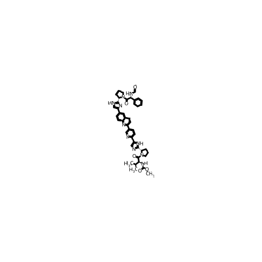 COC(=O)N[C@H](C(=O)N1CCC[C@H]1c1ncc(-c2ccc(-c3ccc4cc(-c5c[nH]c([C@@H]6CCCN6C(=O)[C@H](NC=O)c6ccccc6)n5)ccc4n3)cn2)[nH]1)C(C)C